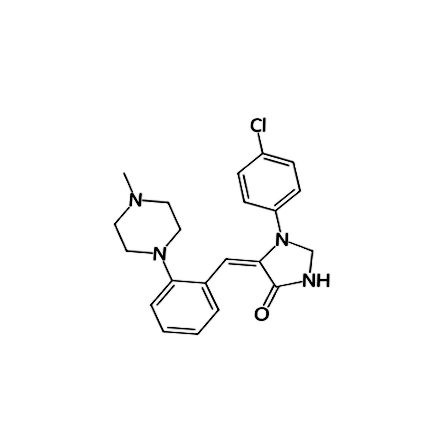 CN1CCN(c2ccccc2C=C2C(=O)NCN2c2ccc(Cl)cc2)CC1